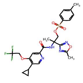 Cc1ccc(S(=O)(=O)OCC(C)(NC(=O)c2cc(OCC(F)(F)F)c(C3CC3)cn2)c2noc(C)n2)cc1